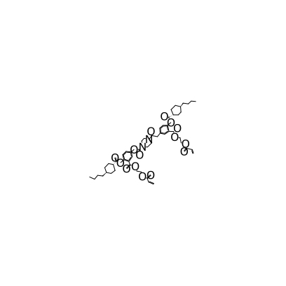 C=CC(=O)OCCOC(=O)c1cc(CC(=O)N2CCN(C(=O)Oc3ccc(OC(=O)[C@H]4CC[C@H](CCCC)CC4)c(C(=O)OCCOC(=O)C=C)c3)CC2)ccc1OC(=O)[C@H]1CC[C@H](CCCC)CC1